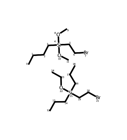 CCCC[Si](CCBr)(OC)OC.CCC[Si](CCC)(CCBr)OCC